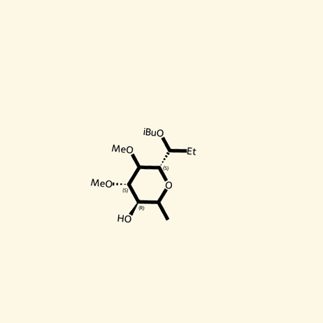 CCC(OCC(C)C)[C@@H]1OC(C)[C@@H](O)[C@H](OC)C1OC